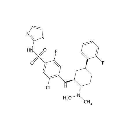 CN(C)[C@H]1CC[C@H](c2ccccc2F)C[C@@H]1Nc1cc(F)c(S(=O)(=O)Nc2nccs2)cc1Cl